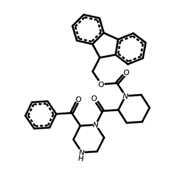 O=C(c1ccccc1)C1CNCCN1C(=O)C1CCCCN1C(=O)OCC1c2ccccc2-c2ccccc21